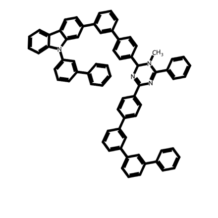 CN1C(c2ccccc2)=NC(c2ccc(-c3cccc(-c4cccc(-c5ccccc5)c4)c3)cc2)=NC1c1ccc(-c2cccc(-c3ccc4c5ccccc5n(-c5cccc(-c6ccccc6)c5)c4c3)c2)cc1